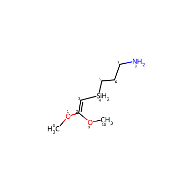 COC(=C[SiH2]CCCN)OC